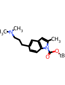 Cc1cc2cc(CCCN(C)C)ccc2n1C(=O)OC(C)(C)C